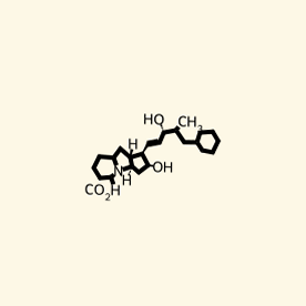 CC(CC1CCCCC1)[C@@H](O)/C=C/[C@@H]1[C@H]2CC3CCCC(C(=O)O)N3[C@@H]2C[C@H]1O